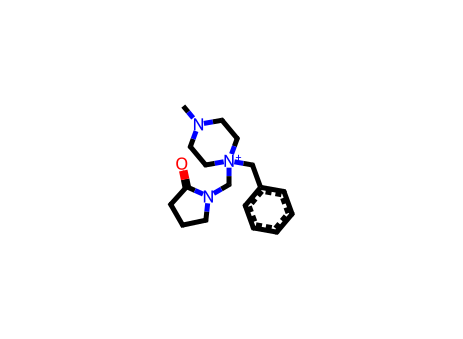 CN1CC[N+](Cc2ccccc2)(CN2CCCC2=O)CC1